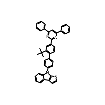 CC(C)(C)c1cc(-c2nc(-c3ccccc3)cc(-c3ccccc3)n2)ccc1-c1ccc(-n2c3ccccc3c3ccsc32)cc1